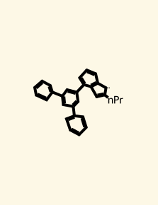 CCCC1=Cc2c(cccc2-c2cc(-c3ccccc3)cc(-c3ccccc3)c2)[CH]1